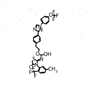 Cc1ccc(C(F)(F)F)c(N2C(=O)CS/C2=N\C(O)OCCc2ccc(-c3ncn(-c4ccc(OC(F)(F)F)cc4)n3)cc2)c1